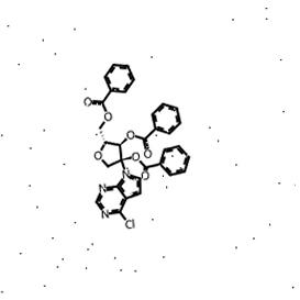 O=C(OC[C@H]1OC[C@@](OC(=O)c2ccccc2)(n2ccc3c(Cl)ncnc32)[C@@H]1OC(=O)c1ccccc1)c1ccccc1